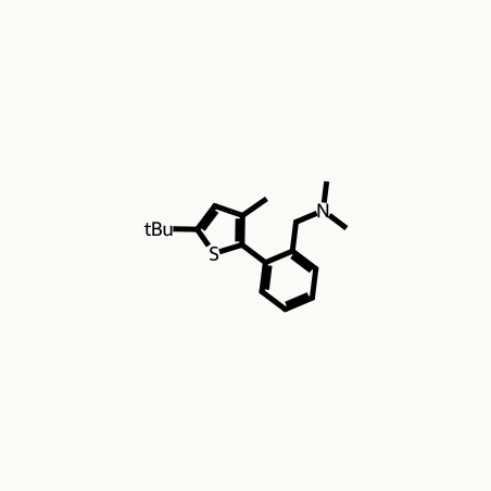 Cc1cc(C(C)(C)C)sc1-c1ccccc1CN(C)C